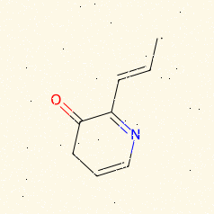 [CH2]C=CC1=NC=CCC1=O